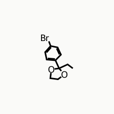 CCC1(c2ccc(Br)cc2)OCCO1